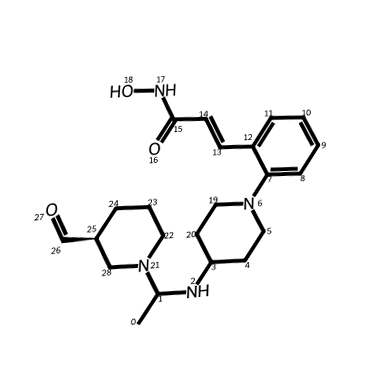 CC(NC1CCN(c2ccccc2/C=C/C(=O)NO)CC1)N1CCC[C@H](C=O)C1